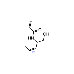 C=CC(=O)NC(/C=C\C)CO